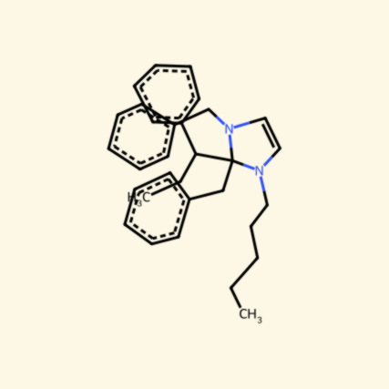 CCCCCN1C=CN(Cc2ccccc2)C1(Cc1ccccc1)C(CC)c1ccccc1